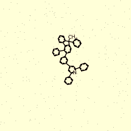 CC1(c2ccccc2)c2ccccc2-c2c1ccc(-c1cccc(-c3cc(-c4ccccc4)nc(-c4ccccc4)c3)c1)c2-c1ccccc1